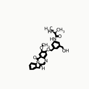 CN[C@@H](C)C(=O)Nc1cc(CO)cc(COc2cc3c(cc2OC)C(=O)N2c4ccccc4C[C@H]2C=N3)c1